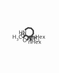 CCCCCCC(CC)C12CO[C@@H](C)[C@H]1NCCCCCC2(C)CCCCCC